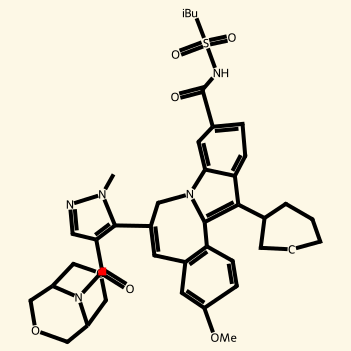 CCC(C)S(=O)(=O)NC(=O)c1ccc2c(C3CCCCC3)c3n(c2c1)CC(c1c(C(=O)N2C4COCC2COC4)cnn1C)=Cc1cc(OC)ccc1-3